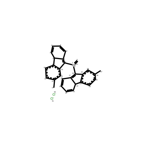 [CH2]=[Hf+2]([C]1=C2C=CC=CC2c2ccc(C)cc21)[C]1=C2C=CC=CC2c2ccc(C)cc21.[Cl-].[Cl-]